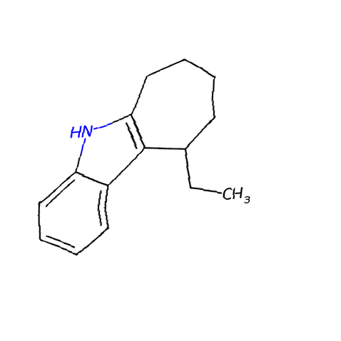 CCC1CCCCc2[nH]c3ccccc3c21